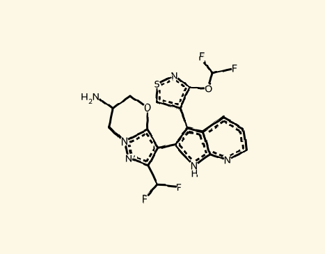 NC1COc2c(-c3[nH]c4ncccc4c3-c3csnc3OC(F)F)c(C(F)F)nn2C1